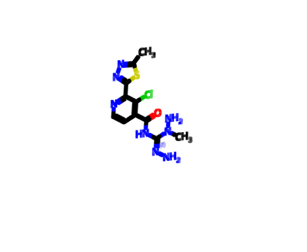 Cc1nnc(-c2nccc(C(=O)N/C(=N/N)N(C)N)c2Cl)s1